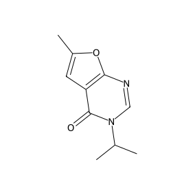 Cc1cc2c(=O)n(C(C)C)cnc2o1